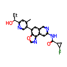 CC[C@H](O)c1cc(C)c(-c2cc3cnc(NC(=O)[C@H]4C[C@H]4F)cc3c3ncoc23)cn1